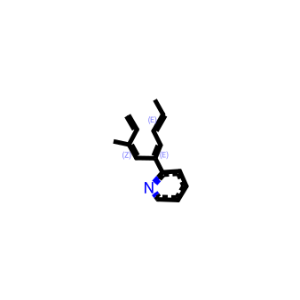 C=C\C(C)=C/C(=C\C=C\C)c1ccccn1